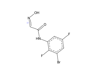 O=C(/C=N\O)Nc1cc(F)cc(Br)c1F